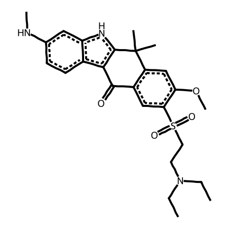 CCN(CC)CCS(=O)(=O)c1cc2c(cc1OC)C(C)(C)c1[nH]c3cc(NC)ccc3c1C2=O